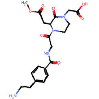 COC(=O)CC1C(=O)N(CC(=O)O)CCN1C(=O)CNC(=O)c1ccc(CCN)cc1